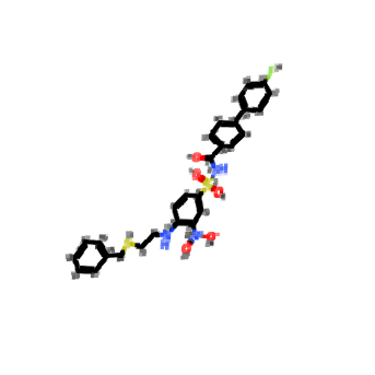 O=C(NS(=O)(=O)c1ccc(NCCSCc2ccccc2)c([N+](=O)[O-])c1)c1ccc(-c2ccc(F)cc2)cc1